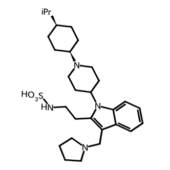 CC(C)[C@H]1CC[C@@H](N2CCC(n3c(CCNS(=O)(=O)O)c(CN4CCCC4)c4ccccc43)CC2)CC1